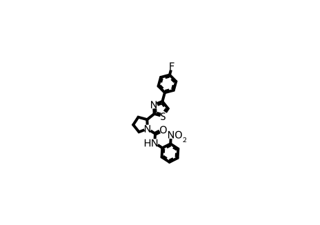 O=C(Nc1ccccc1[N+](=O)[O-])N1CCCC1c1nc(-c2ccc(F)cc2)cs1